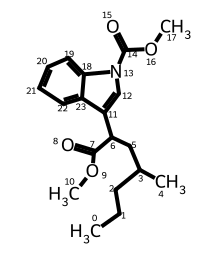 CCCC(C)CC(C(=O)OC)c1cn(C(=O)OC)c2ccccc12